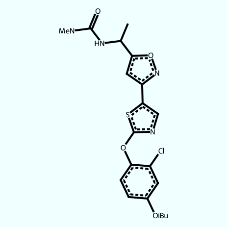 CNC(=O)NC(C)c1cc(-c2cnc(Oc3ccc(OCC(C)C)cc3Cl)s2)no1